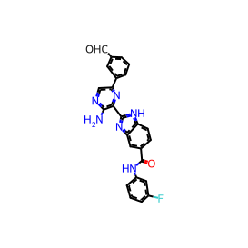 Nc1ncc(-c2cccc(C=O)c2)nc1-c1nc2cc(C(=O)Nc3cccc(F)c3)ccc2[nH]1